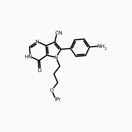 CC(C)OCCCn1c(-c2ccc(N)cc2)c(C#N)c2nc[nH]c(=O)c21